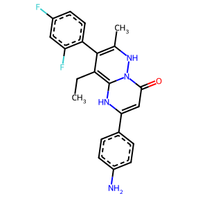 CCC1=C2NC(c3ccc(N)cc3)=CC(=O)N2NC(C)=C1c1ccc(F)cc1F